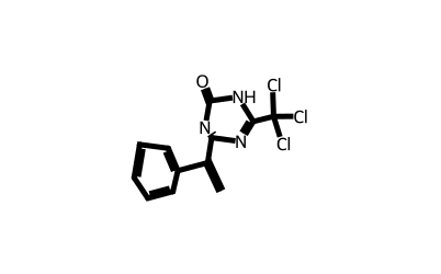 C=C(c1ccccc1)c1nc(C(Cl)(Cl)Cl)[nH]c(=O)n1